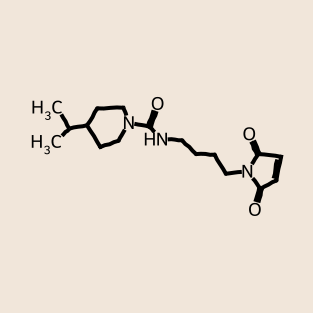 CC(C)C1CCN(C(=O)NCCCCN2C(=O)C=CC2=O)CC1